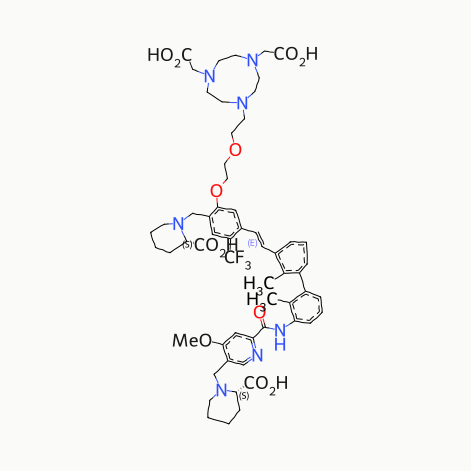 COc1cc(C(=O)Nc2cccc(-c3cccc(/C=C/c4cc(OCCOCCN5CCN(CC(=O)O)CCN(CC(=O)O)CC5)c(CN5CCCC[C@H]5C(=O)O)cc4C(F)(F)F)c3C)c2C)ncc1CN1CCCC[C@H]1C(=O)O